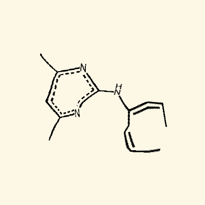 C/C=C\C(=C/C)Nc1nc(C)cc(C)n1